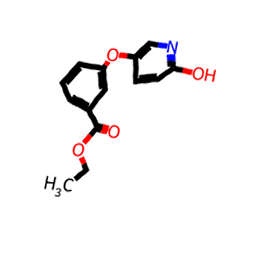 CCOC(=O)c1cccc(Oc2ccc(O)nc2)c1